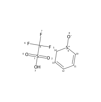 O=S(=O)(O)C(F)(F)F.[O-][S+]1C=CC=CC1